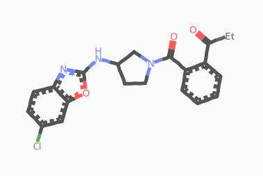 CCC(=O)c1ccccc1C(=O)N1CCC(Nc2nc3ccc(Cl)cc3o2)C1